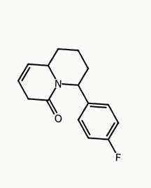 O=C1CC=CC2CCCC(c3ccc(F)cc3)N12